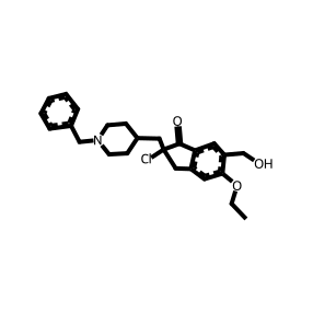 CCOc1cc2c(cc1CO)C(=O)C(Cl)(CC1CCN(Cc3ccccc3)CC1)C2